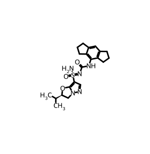 CC(C)[C@@H]1Cn2ncc([S@@](N)(=O)=NC(=O)Nc3c4c(cc5c3CCC5)CCC4)c2O1